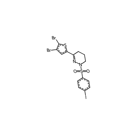 O=S(=O)(c1ccc(I)cc1)N1CCCC(c2cc(Br)c(Br)s2)=N1